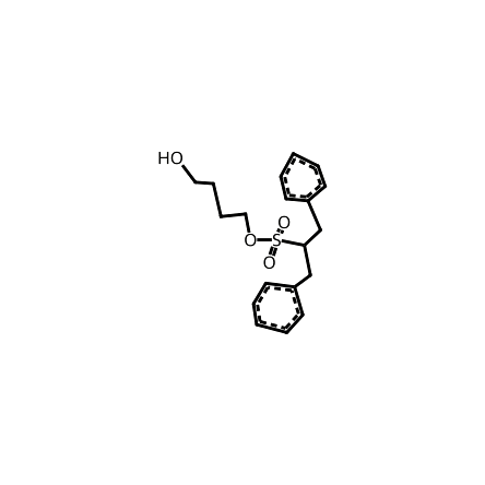 O=S(=O)(OCCCCO)C(Cc1ccccc1)Cc1ccccc1